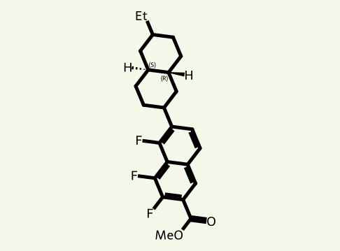 CCC1CC[C@@H]2CC(c3ccc4cc(C(=O)OC)c(F)c(F)c4c3F)CC[C@H]2C1